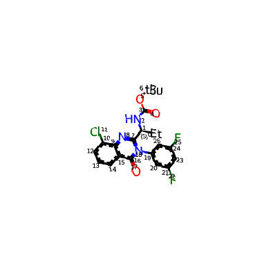 CC[C@H](NC(=O)OC(C)(C)C)c1nc2c(Cl)cccc2c(=O)n1-c1cc(F)cc(F)c1